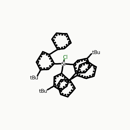 CC(C)(C)c1ccc(-c2ccccc2)c([Si](Cl)(c2cc(C(C)(C)C)ccc2-c2ccccc2)c2cc(C(C)(C)C)ccc2-c2ccccc2)c1